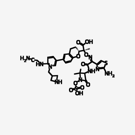 CC1(C)C(NC(=O)/C(=N\O[C@](C)(C(=O)O)[C@H]2CCc3cc(-c4ccc(NCCN)[n+](CC5CNC5)c4)ccc3O2)c2csc(N)n2)C(=O)N1OS(=O)(=O)O